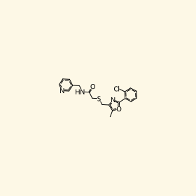 Cc1oc(-c2ccccc2Cl)nc1CSCC(=O)NCc1cccnc1